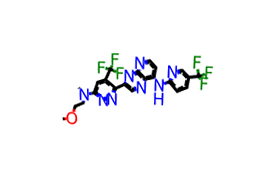 COCCN(C)c1cc(C(F)(F)F)c(-c2cnc3c(Nc4ccc(C(F)(F)F)cn4)ccnc3n2)nn1